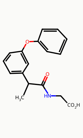 CC(C(=O)NCC(=O)O)c1cccc(Oc2ccccc2)c1